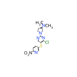 CN(C)[C@@H]1CCN(c2ncc(Sc3ccc([N+](=O)[O-])nc3)c(Cl)n2)C1